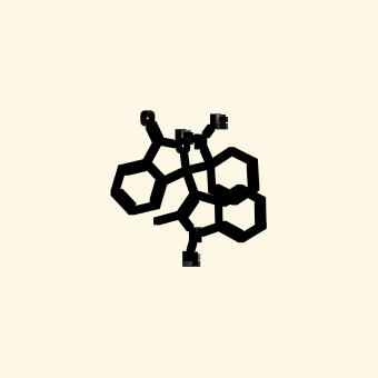 CCN(CC)C1(C2(c3c(C)n(CC)c4ccccc34)OC(=O)c3ccccc32)C=CC=CC1